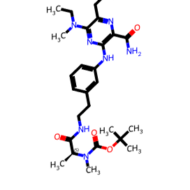 CCc1nc(C(N)=O)c(Nc2cccc(CCNC(=O)[C@H](C)N(C)C(=O)OC(C)(C)C)c2)nc1N(C)CC